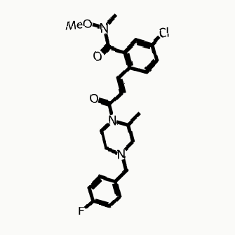 CON(C)C(=O)c1cc(Cl)ccc1C=CC(=O)N1CCN(Cc2ccc(F)cc2)CC1C